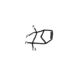 FC1(F)C2C=CC(C2)C1(F)Cl